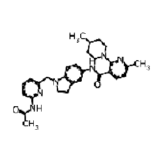 CC(=O)Nc1cccc(CN2CCc3cc(NC(=O)c4ccc(C)nc4N4CCC(C)CC4)ccc32)n1